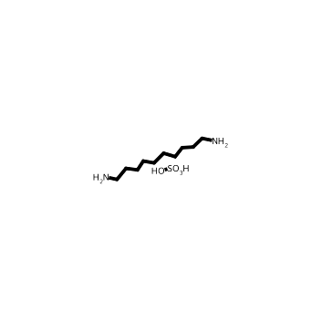 NCCCCCCCCCCN.O=S(=O)(O)O